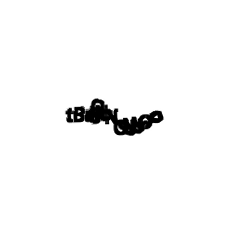 CC(C)(C)OC(=O)N1CCN(CCCOc2ccc3ccc(OCc4ccccc4)nc3n2)CC1